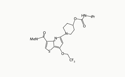 CNC(=O)c1csc2c(OCC(F)(F)F)cc(N3CCC(OC(=O)NC(C)C)CC3)nc12